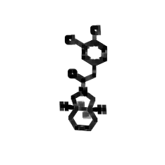 O=C(Cc1ccc(Cl)c(Cl)c1)N1C[C@H]2CC=CC[C@H]2C1